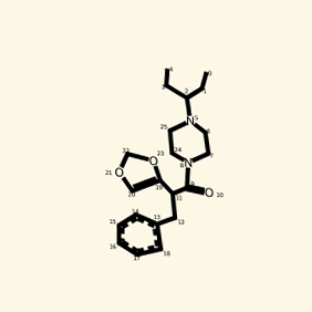 CCC(CC)N1CCN(C(=O)C(Cc2ccccc2)C2=COCO2)CC1